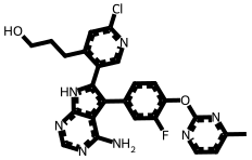 Cc1ccnc(Oc2ccc(-c3c(-c4cnc(Cl)cc4CCCO)[nH]c4ncnc(N)c34)cc2F)n1